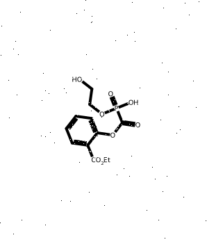 CCOC(=O)c1ccccc1OC(=O)P(=O)(O)OCCO